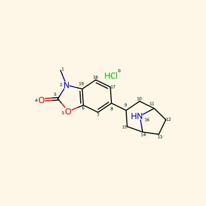 Cl.Cn1c(=O)oc2cc(C3CC4CCC(C3)N4)ccc21